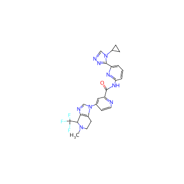 CN1CCc2c(ncn2-c2ccnc(C(=O)Nc3cccc(-c4nncn4C4CC4)n3)c2)C1C(F)(F)F